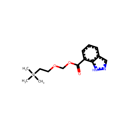 C[Si](C)(C)CCOCOC(=O)c1cccc2cn[nH]c12